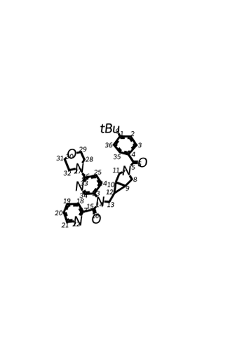 CC(C)(C)c1ccc(C(=O)N2CC3C(C2)C3CN(C(=O)c2ccccn2)c2ccc(N3CCOCC3)nc2)cc1